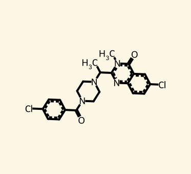 CC(c1nc2ccc(Cl)cc2c(=O)n1C)N1CCN(C(=O)c2ccc(Cl)cc2)CC1